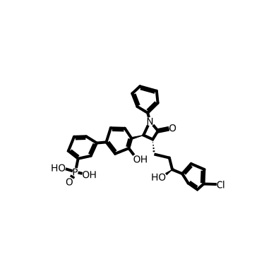 O=C1[C@H](CC[C@H](O)c2ccc(Cl)cc2)[C@@H](c2ccc(-c3cccc(P(=O)(O)O)c3)cc2O)N1c1ccccc1